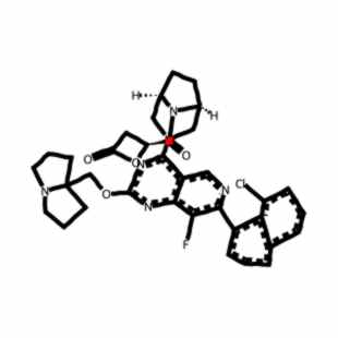 O=C1C[C@@H](C(=O)N2[C@@H]3CC[C@H]2CN(c2nc(OCC45CCCN4CCC5)nc4c(F)c(-c5cccc6cccc(Cl)c56)ncc24)C3)O1